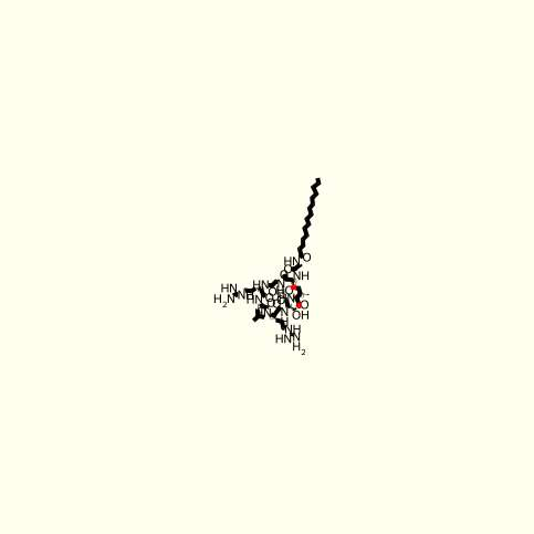 CCCCCCCCCCCCCCCC(=O)NCC(=O)N[C@@H](CO)C(=O)NCC(=O)N[C@@H](CCCNC(=N)N)C(=O)N[C@@H](CC(C)C)C(=O)N[C@@H](CCCNC(=N)N)C(=O)N[C@@H](CO)C(=O)N[C@H](C(C)=O)[C@@H](C)CC